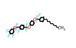 CCCCCCCCCc1ccc(C(F)(F)Oc2ccc(OC(F)(F)c3ccc(C(F)(F)Oc4cc(F)c(F)c(F)c4)c(F)c3)cc2)c(F)c1